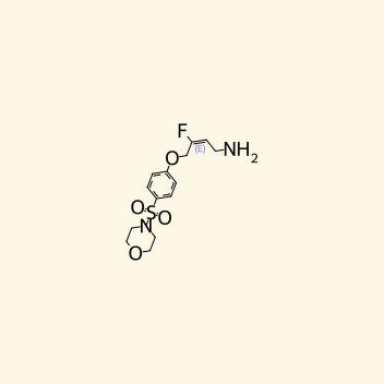 NC/C=C(/F)COc1ccc(S(=O)(=O)N2CCOCC2)cc1